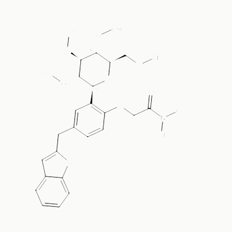 CCCCOC[C@H]1O[C@@H](c2cc(Cc3cc4ccccc4s3)ccc2OCC(=O)N(C)C)[C@H](OCCCC)[C@@H](OCCCC)[C@@H]1OCCCC